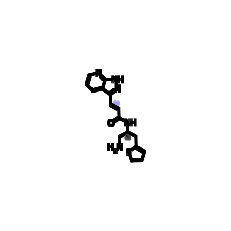 NC[C@H](Cc1cccs1)NC(=O)/C=C/c1n[nH]c2ncccc12